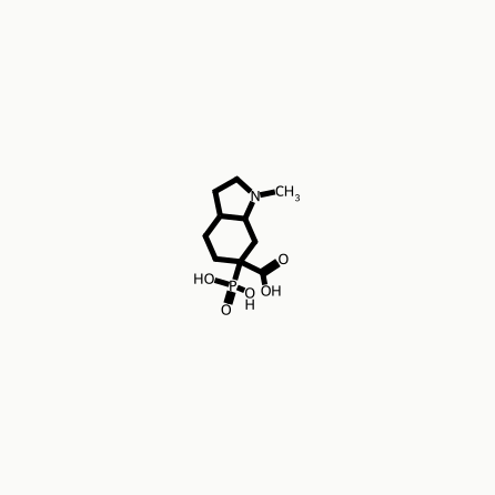 CN1CCC2CCC(C(=O)O)(P(=O)(O)O)CC21